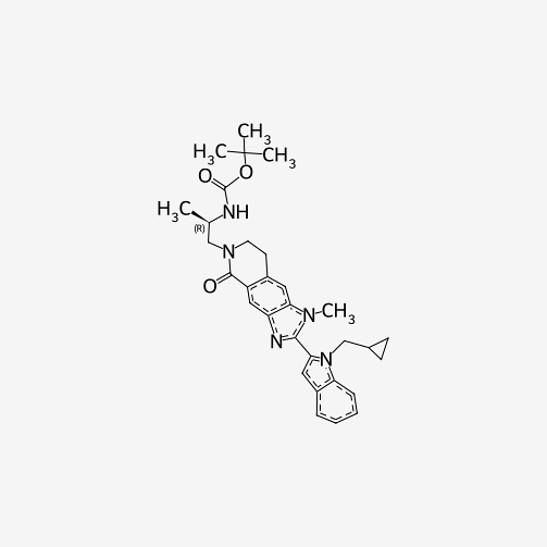 C[C@H](CN1CCc2cc3c(cc2C1=O)nc(-c1cc2ccccc2n1CC1CC1)n3C)NC(=O)OC(C)(C)C